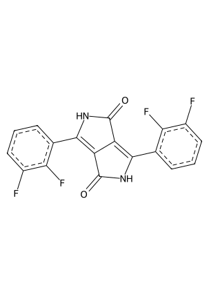 O=C1NC(c2cccc(F)c2F)=C2C(=O)NC(c3cccc(F)c3F)=C12